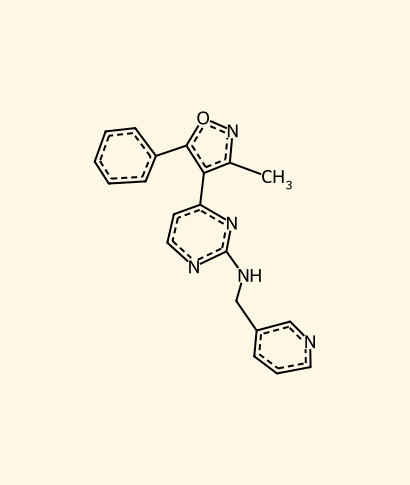 Cc1noc(-c2ccccc2)c1-c1ccnc(NCc2cccnc2)n1